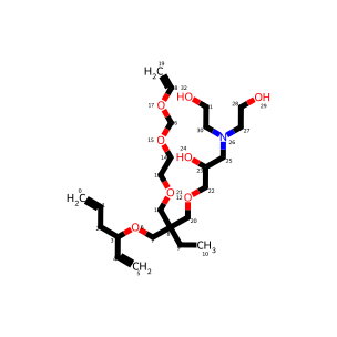 C=CCC(C=C)OCC(CC)(COCCOCOC=C)COCC(O)CN(CCO)CCO